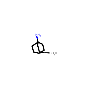 NC12CCC(CC1)C(C(=O)O)C2